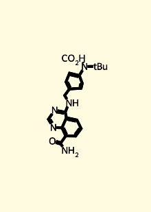 CC(C)(C)N(C(=O)O)c1ccc(CNc2ncnc3c(C(N)=O)cccc23)cc1